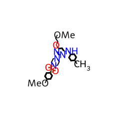 COCCOc1cc(Nc2ccc(C)cc2)nc(N2CCN(S(=O)(=O)c3ccc(OC)cc3)CC2)n1